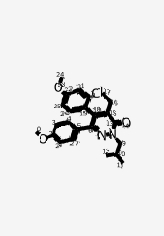 COc1ccc(-c2nn(CC(C)C)c(=O)c(CCl)c2-c2ccc(OC)cc2)cc1